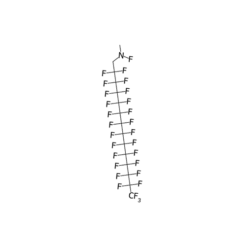 CN(F)CC(F)(F)C(F)(F)C(F)(F)C(F)(F)C(F)(F)C(F)(F)C(F)(F)C(F)(F)C(F)(F)C(F)(F)C(F)(F)C(F)(F)C(F)(F)F